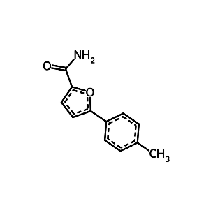 Cc1ccc(-c2ccc(C(N)=O)o2)cc1